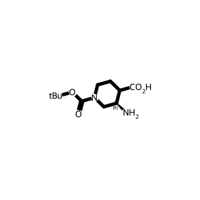 CC(C)(C)OC(=O)N1CCC(C(=O)O)[C@@H](N)C1